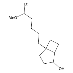 CCC(CCCCC12CCC(O)C1CC2)OC